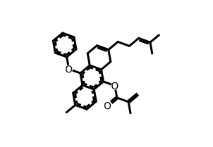 C=C(C)C(=O)Oc1c2c(c(Oc3ccccc3)c3cc(C)ccc13)CC=C(CCC=C(C)C)C2